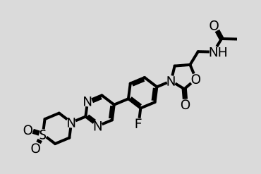 CC(=O)NCC1CN(c2ccc(-c3cnc(N4CCS(=O)(=O)CC4)nc3)c(F)c2)C(=O)O1